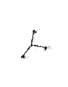 CC(COCCC(=O)NCCOCCOCCO[C@H]1OC(CO)[C@@H](O)[C@H](O)C1O)(COCCC(=O)NCCOCCOCCO[C@H]1OC(CO)[C@@H](O)C(O)[C@H]1O)COCCC(=O)NCCOCCOCCO[C@H]1OC(CO)[C@@H](O)C(O)[C@H]1O